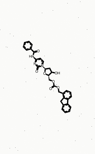 O=C(OCc1cccc2c1Cc1ccccc1-2)OC[C@H]1O[C@@H](n2ccc(NC(=O)c3ccccc3)nc2=O)CC1O